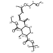 C=C(/C=C\C=C(/C)OCCOC)[C@H]1CCC(C(=O)OC(C)(C)C)[C@@H](C)[C@H]1C(=O)OCC